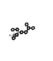 CC1(C)c2ccccc2-c2ccc(N(c3ccc(-c4cccc(-c5cc(C6CCCCC6)cc(C6CCCCC6)c5)c4)cc3)c3cccc(C4CCCCC4)c3)cc21